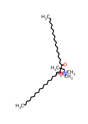 CCCCCCCCCCCCCCCCCC(=O)C(C)(C[N+](C)(C)C)C(=O)CCCCCCCCCCCCCCCCC